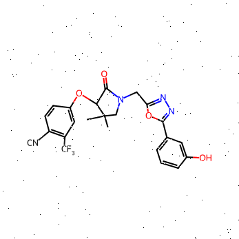 [C-]#[N+]c1ccc(OC2C(=O)N(Cc3nnc(-c4cccc(O)c4)o3)CC2(C)C)cc1C(F)(F)F